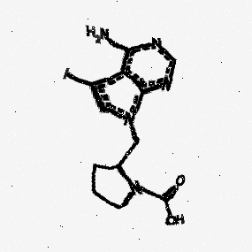 Nc1ncnc2c1c(I)cn2CC1CCCN1C(=O)O